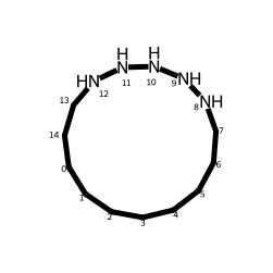 [CH]1CCCCCCCNNNNNCC1